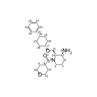 N[C@H]1CCCN(C(=O)C2CCOCC2)[C@H]1CO[C@H]1CC[C@@H](c2ccccc2)CC1